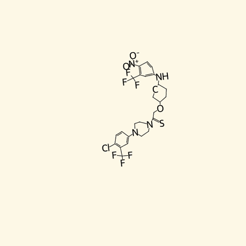 O=[N+]([O-])c1ccc(NC2CCC(OCC(=S)N3CCN(c4ccc(Cl)c(C(F)(F)F)c4)CC3)CC2)cc1C(F)(F)F